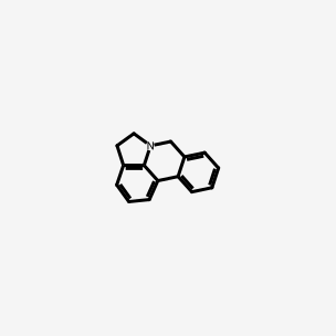 c1ccc2c(c1)CN1CCc3cccc-2c31